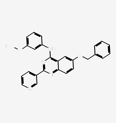 FC(F)(F)Oc1cccc(Nc2nc(-c3cccnc3)nc3ccc(OCc4ccccc4)cc23)c1